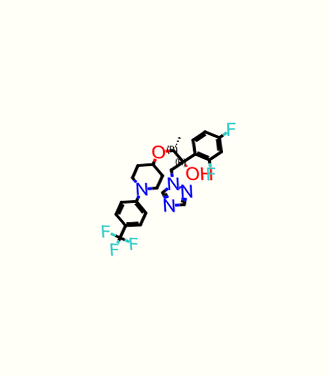 C[C@@H](OC1CCN(c2ccc(C(F)(F)F)cc2)CC1)[C@](O)(Cn1cncn1)c1ccc(F)cc1F